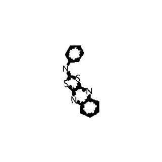 c1ccc(N=c2sc3nc4ccccc4nc3s2)cc1